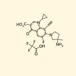 C#Cc1c(N2CCC(C)(N)C2)c(F)cc2c(=O)c(C(=O)O)cn(C3CC3)c12.O=C(O)C(F)(F)F